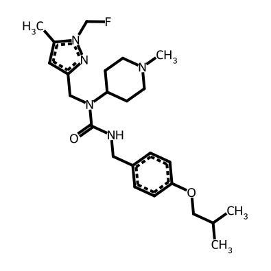 Cc1cc(CN(C(=O)NCc2ccc(OCC(C)C)cc2)C2CCN(C)CC2)nn1CF